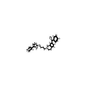 Cn1c(SCCCN2CCc3ccc(C(=O)c4ccccc4)cc3C2)nnc1-c1ccsc1